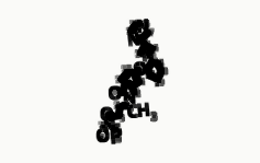 CC(CCC(=O)N(C=O)SF)N1Cc2cc(OC3CCCCC3N3CC(c4cnccn4)C3)ccc2C1=O